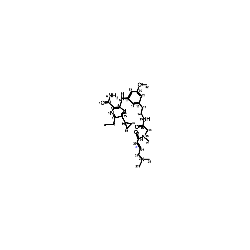 CCc1nc(C(N)=O)c(Nc2cc(CCNC(=O)CN(C)C(=O)/C=C/CN(C)C)cc(OC)c2)nc1C1CC1